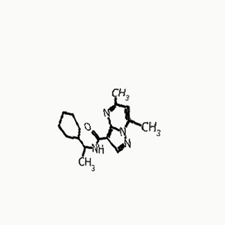 Cc1cc(C)n2ncc(C(=O)NC(C)C3CCCCC3)c2n1